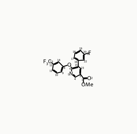 COC(=O)c1cnc(Oc2cccc(C(F)(F)F)c2)c(-c2cccc(F)c2)c1